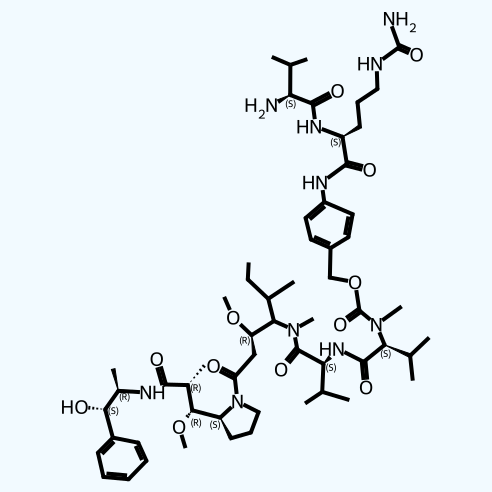 CCC(C)C([C@@H](CC(=O)N1CCC[C@H]1[C@H](OC)[C@@H](C)C(=O)N[C@H](C)[C@@H](O)c1ccccc1)OC)N(C)C(=O)[C@@H](NC(=O)[C@H](C(C)C)N(C)C(=O)OCc1ccc(NC(=O)[C@H](CCCNC(N)=O)NC(=O)[C@@H](N)C(C)C)cc1)C(C)C